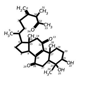 C=C(CCC(C)C1CCC2C3=C(C(=O)CC21C)C1(C)CCC(O)C(C)(O)C1CC3=O)C(C)C(C)=O